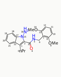 CCCc1c(C(=O)NCc2c(OC)cccc2OC)n(N)c2ccccc12